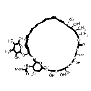 CNC(=O)N[C@H]1[C@@H]2C[C@@H](OC3OC(C)C(O)C(N)C3O)/C=C/C=C/C=C/C=C/C=C/C=C/C=C/[C@H](C)[C@@H](O)[C@@H](C)[C@H](C)OC(=O)C[C@H](O)C[C@H](O)CC[C@@H](O)[C@H](O)C[C@H](O)CC(O)(C[C@@H]1O)O2